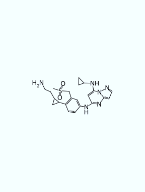 CS(=O)(=O)Cc1cc(Nc2cc(NC3CC3)n3nccc3n2)ccc1C1CC1CCN